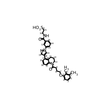 Cc1cccc(OCCCC(=O)N2CCCc3c(-c4cnn(-c5cccc(C(=O)NCCS(=O)(=O)O)c5)c4)cccc32)c1C